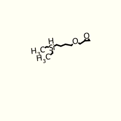 CC[SiH](CC)CCCCOCC1CO1